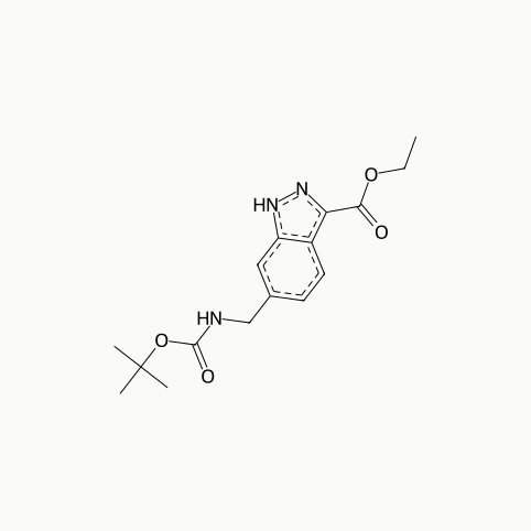 CCOC(=O)c1n[nH]c2cc(CNC(=O)OC(C)(C)C)ccc12